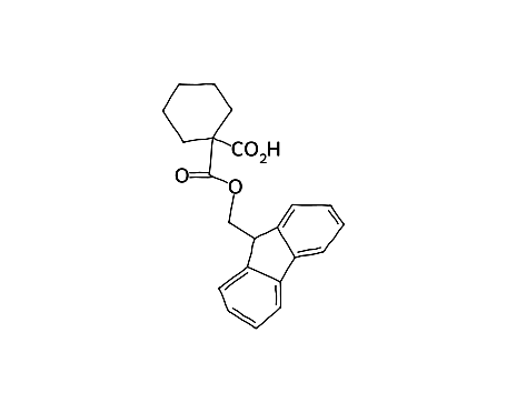 O=C(O)C1(C(=O)OCC2c3ccccc3-c3ccccc32)CCCCC1